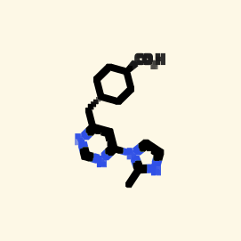 Cc1nccn1-c1cc(C[C@H]2CC[C@H](C(=O)O)CC2)ncn1